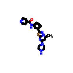 C=C1C=C(N2CCNCC2)N=C2SC(c3cccc(NC(=O)c4ccncc4)c3)=NN12